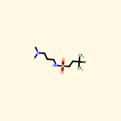 CN(I)CCCNS(=O)(=O)CCC(F)(C(F)(F)F)C(F)(F)F